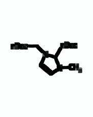 CCCCCCCCCCCN1C=CN(C)C1CCCCCCCCCC